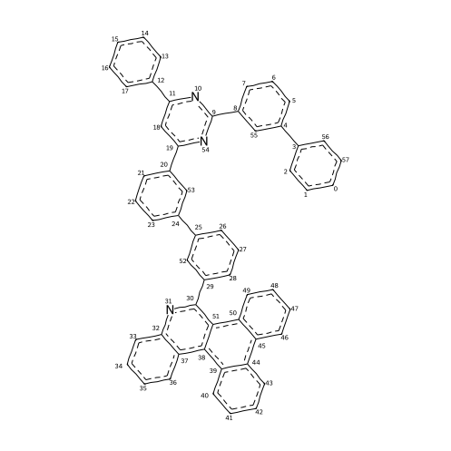 c1ccc(-c2cccc(-c3nc(-c4ccccc4)cc(-c4cccc(-c5cccc(-c6nc7ccccc7c7c8ccccc8c8ccccc8c67)c5)c4)n3)c2)cc1